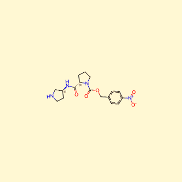 O=C(N[C@H]1CCNC1)[C@@H]1CCCN1C(=O)OCc1ccc([N+](=O)[O-])cc1